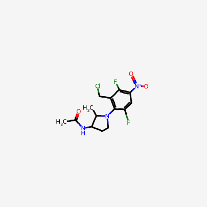 CC(=O)NC1CCN(c2c(F)cc([N+](=O)[O-])c(F)c2CCl)C1C